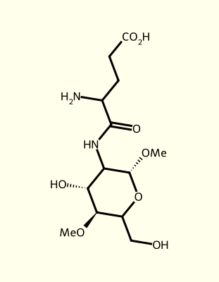 CO[C@@H]1OC(CO)[C@@H](OC)[C@H](O)C1NC(=O)C(N)CCC(=O)O